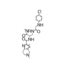 CN1CCc2nc(C(=O)NC(CNC(=O)CNc3ccc(Cl)cc3)C(=O)N(C)C)sc2C1